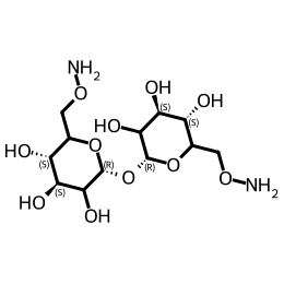 NOCC1O[C@H](O[C@H]2OC(CON)[C@@H](O)[C@H](O)C2O)C(O)[C@@H](O)[C@@H]1O